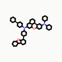 c1ccc(-c2ccc(N(c3ccc(-c4cccc5c4oc4ccccc45)cc3)c3cc4c5c(cccc5c3)-c3cc(N(c5ccccc5)c5ccccc5)ccc3O4)cc2)cc1